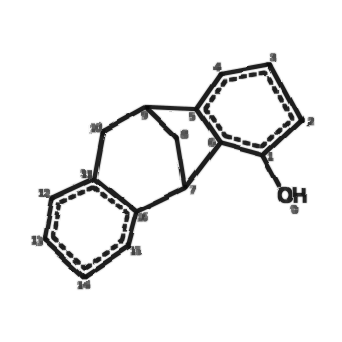 Oc1cccc2c1C1CC2Cc2ccccc21